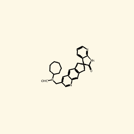 O=CN(Cc1cnc2cc3c(cc2c1)CC1(C3)C(=O)Nc2ncccc21)C1CCCCCC1